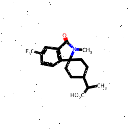 CC(C(=O)O)C1CCC2(CC1)c1ccc(C(F)(F)F)cc1C(=O)N2C